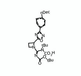 CCCCCCCCCCc1ccc(-c2noc(C3CCN3C(=NC(=O)OC(C)(C)C)N(C(=O)O)C(C)(C)C)n2)cc1